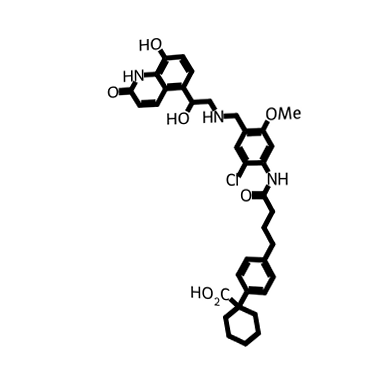 COc1cc(NC(=O)CCCc2ccc(C3(C(=O)O)CCCCC3)cc2)c(Cl)cc1CNCC(O)c1ccc(O)c2[nH]c(=O)ccc12